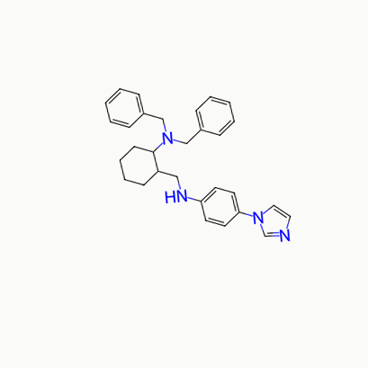 c1ccc(CN(Cc2ccccc2)C2CCCCC2CNc2ccc(-n3ccnc3)cc2)cc1